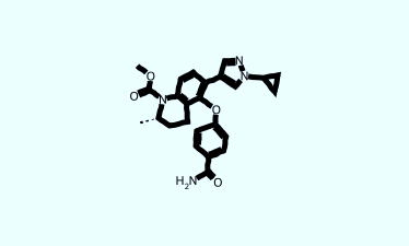 COC(=O)N1c2ccc(-c3cnn(C4CC4)c3)c(Oc3ccc(C(N)=O)cc3)c2CC[C@@H]1C